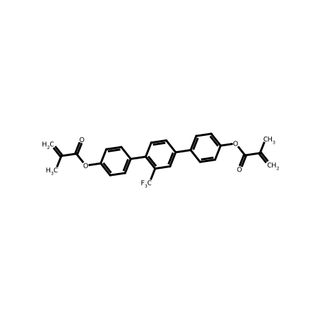 C=C(C)C(=O)Oc1ccc(-c2ccc(-c3ccc(OC(=O)C(=C)C)cc3)c(C(F)(F)F)c2)cc1